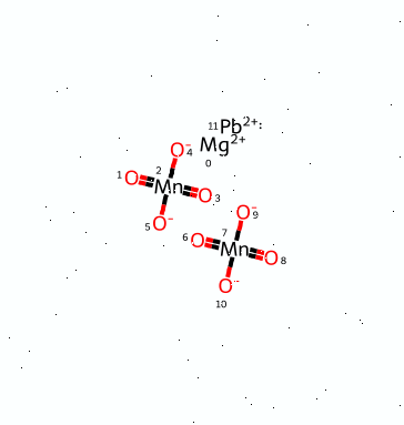 [Mg+2].[O]=[Mn](=[O])([O-])[O-].[O]=[Mn](=[O])([O-])[O-].[Pb+2]